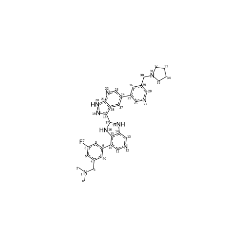 CN(C)Cc1cc(F)cc(-c2cncc3c2NC(c2n[nH]c4ncc(-c5cncc(CN6CCCC6)c5)cc24)N3)c1